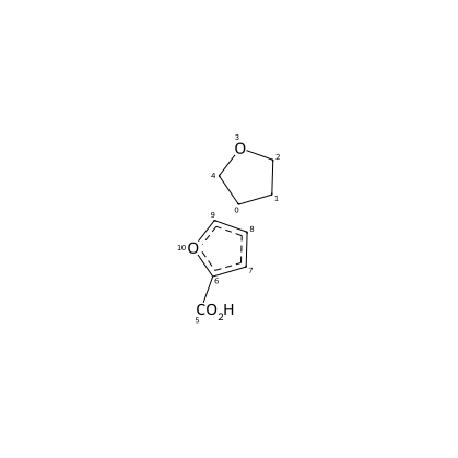 C1CCOC1.O=C(O)c1ccco1